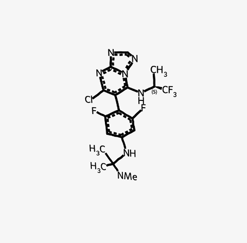 CNC(C)(C)Nc1cc(F)c(-c2c(Cl)nc3ncnn3c2N[C@@H](C)C(F)(F)F)c(F)c1